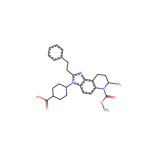 COC(=O)N1c2ccc3c(nc(CCc4ccccc4)n3C3CCC(C(=O)O)CC3)c2CCC1C